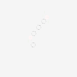 CCCCCC1CCC(c2cc(F)c(C(F)(F)Oc3ccc(-c4ccc(-c5cc(F)c(OC(F)(F)F)c(F)c5)c(F)c4)c(F)c3)c(F)c2)CC1